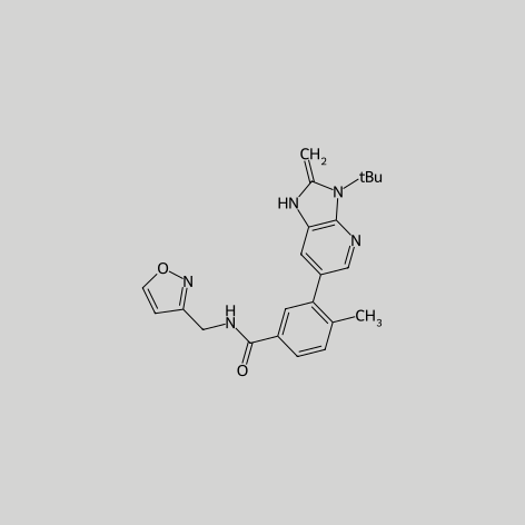 C=C1Nc2cc(-c3cc(C(=O)NCc4ccon4)ccc3C)cnc2N1C(C)(C)C